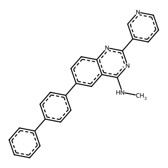 CNc1nc(-c2cccnc2)nc2ccc(-c3ccc(-c4ccccc4)cc3)cc12